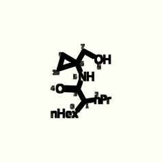 CCCCCCC(CCC)C(=O)NC1(CO)CC1